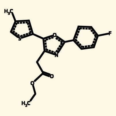 CCOC(=O)Cc1nc(-c2ccc(F)cc2)oc1-c1cc(C)cs1